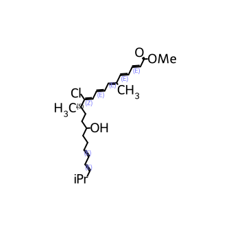 COC(=O)/C=C/C=C/C(C)=C/C=C/C=C(\Cl)[C@@H](C)CCC(O)CC/C=C/C=C/C(C)C